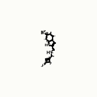 FC12CC(CNCc3cc4ccc(Br)cc4[nH]3)(C1)C2